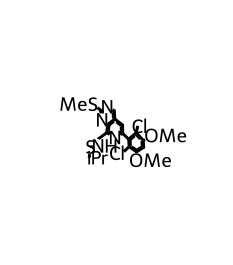 COc1cc(OC)c(Cl)c(-c2cc3cnc(SC)nc3c(CNSC(C)C)n2)c1Cl